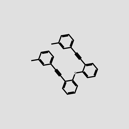 Cc1cccc(C#Cc2ccccc2Sc2ccccc2C#Cc2cccc(C)c2)c1